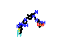 C=CS(=O)(=O)NC1CN(CCn2c(C#N)cc3c(C)c(CN4CCC(Nc5ncnc6sc(CC(F)(F)F)cc56)CC4)ccc32)C1